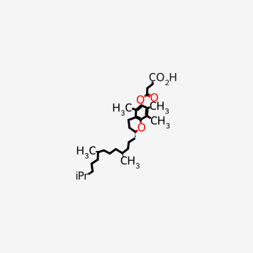 Cc1c(C)c2c(c(C)c1OC(=O)CCC(=O)O)CC[C@@H](CCC[C@H](C)CCC[C@H](C)CCCC(C)C)O2